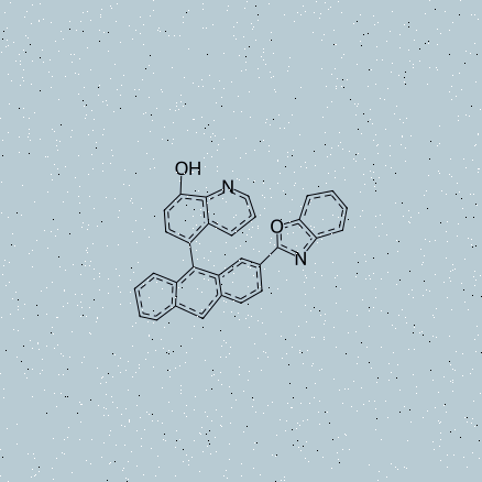 Oc1ccc(-c2c3ccccc3cc3ccc(-c4nc5ccccc5o4)cc23)c2cccnc12